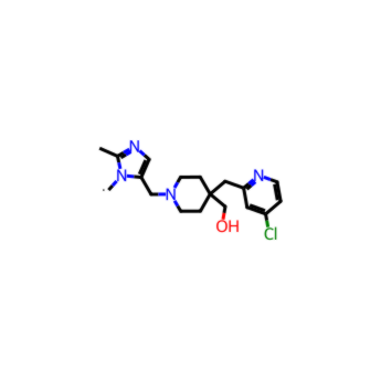 [CH2]n1c(CN2CCC(CO)(Cc3cc(Cl)ccn3)CC2)cnc1C